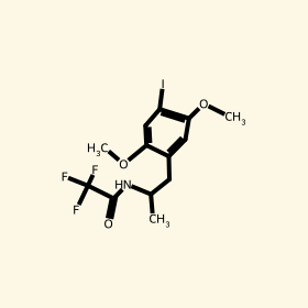 COc1cc(CC(C)NC(=O)C(F)(F)F)c(OC)cc1I